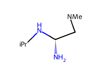 CNC[C@H](N)NC(C)C